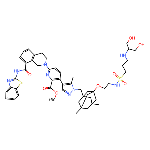 Cc1c(-c2ccc(N3CCc4cccc(C(=O)Nc5nc6ccccc6s5)c4C3)nc2C(=O)OC(C)(C)C)cnn1CC12CC3(C)CC(C)(C1)CC(OCCNS(=O)(=O)CCCNC(CO)CO)(C3)C2